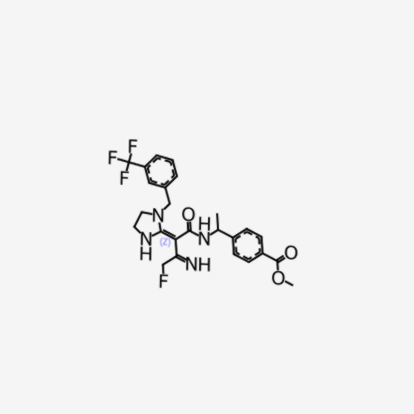 COC(=O)c1ccc(C(C)NC(=O)/C(C(=N)CF)=C2/NCCN2Cc2cccc(C(F)(F)F)c2)cc1